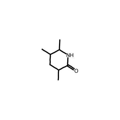 CC1CC(C)C(C)NC1=O